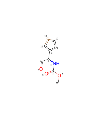 COC(=O)N[C@@H](C=O)c1ccsc1